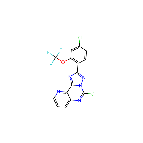 FC(F)(F)Oc1cc(Cl)ccc1-c1nc2c3ncccc3nc(Cl)n2n1